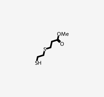 COC(=O)CCSCCS